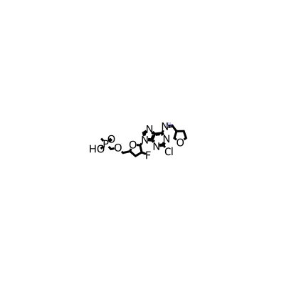 CP(=O)(O)COCC1CC(F)C(n2cnc3c(/N=C\C4CCOC4)nc(Cl)nc32)O1